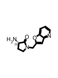 N[C@H]1CCN(Cc2cc3ncccc3o2)C1=O